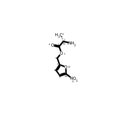 C[C@H](N)C(=O)OCc1ccc([N+](=O)[O-])o1